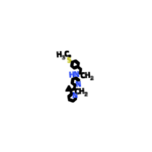 C=C(Cc1ccc(SCC)cc1)Nc1ccc(C(=C)C2(c3ccccn3)CC2)nc1